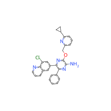 Nc1nc(-c2ccccc2)c(-c2cc(Cl)c3ncccc3c2)nc1OCc1cccc(C2CC2)n1